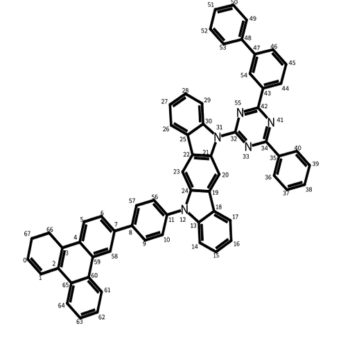 C1=Cc2c(c3ccc(-c4ccc(-n5c6ccccc6c6cc7c(cc65)c5ccccc5n7-c5nc(-c6ccccc6)nc(-c6cccc(-c7ccccc7)c6)n5)cc4)cc3c3ccccc23)CC1